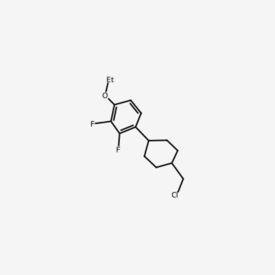 CCOc1ccc(C2CCC(CCl)CC2)c(F)c1F